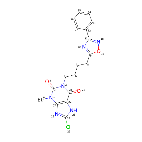 CCn1c(=O)n(CCCCc2nc(-c3ccccc3)no2)c(=O)c2[nH]c(Cl)nc21